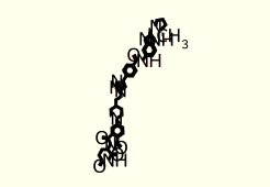 C[C@H]1CCCN1Cc1nc2cc(NC(=O)c3ccc(-c4cn(CCC5CCN(c6ccc7c(c6)C(=O)N(C6CCC(=O)NC6=O)C7=O)CC5)nn4)cc3)ccc2[nH]1